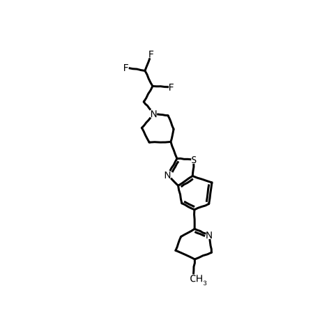 CC1CCC(c2ccc3sc(C4CCN(CC(F)C(F)F)CC4)nc3c2)=NC1